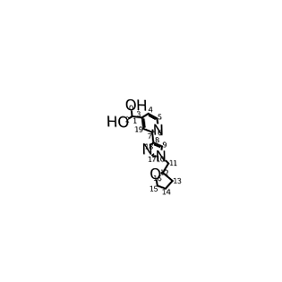 OC(O)c1ccnc(-c2cn(CC3CCCO3)cn2)c1